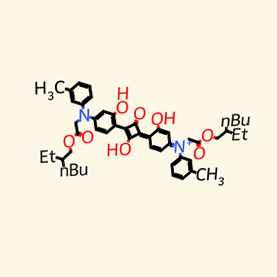 CCCCC(CC)COC(=O)CN(c1cccc(C)c1)c1ccc(C2=C(O)/C(=C3C=C/C(=[N+](/CC(=O)OCC(CC)CCCC)c4cccc(C)c4)C=C\3O)C2=O)c(O)c1